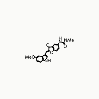 CNC(=O)Nc1ccc2c(c1)C(=O)C(=Cc1c[nH]c3ccc(OC)cc13)O2